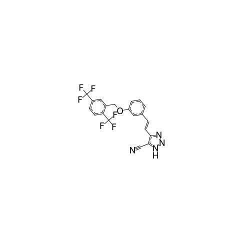 N#Cc1[nH]nnc1/C=C/c1cccc(OCc2cc(C(F)(F)F)ccc2C(F)(F)F)c1